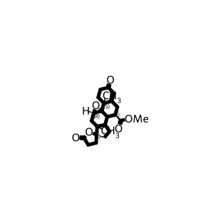 COC(=O)[C@@H]1CC2=CC(=O)CC[C@]2(C)[C@@]23O[C@@H]2C[C@@]2(C)C(CC[C@@]24CCC(=O)O4)C13